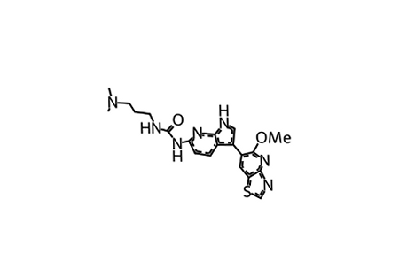 COc1nc2ncsc2cc1-c1c[nH]c2nc(NC(=O)NCCCN(C)C)ccc12